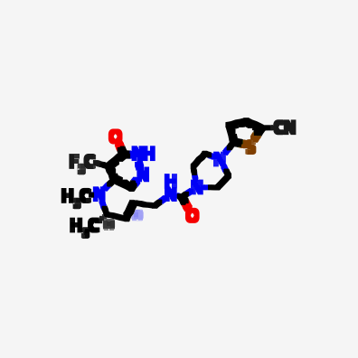 C[C@@H](/C=C/CNC(=O)N1CCN(c2ccc(C#N)s2)CC1)N(C)c1cn[nH]c(=O)c1C(F)(F)F